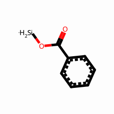 O=C(O[SiH2])c1ccccc1